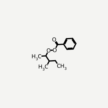 CCC(C)C(C)OOC(=O)c1ccccc1